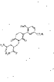 COc1ccc(C(=O)O)cc1N1CCC(=O)N(CC(CC(N)=O)C(N)=O)C1=O